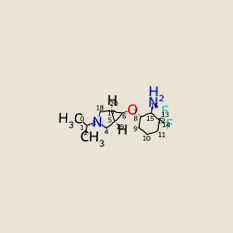 CC(C)N1C[C@@H]2C(O[C@H]3CCCC(F)(F)[C@@H]3N)[C@@H]2C1